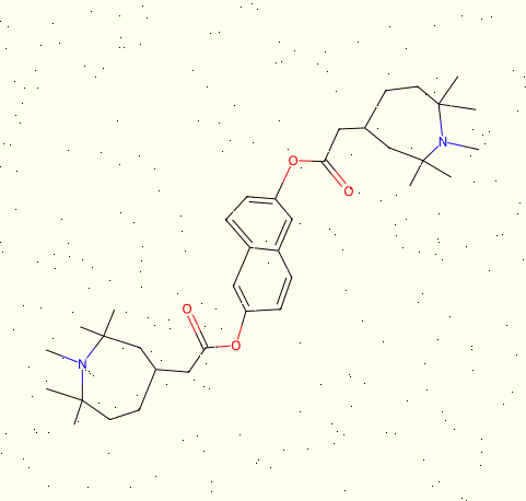 CN1C(C)(C)CCC(CC(=O)Oc2ccc3cc(OC(=O)CC4CCC(C)(C)N(C)C(C)(C)C4)ccc3c2)CC1(C)C